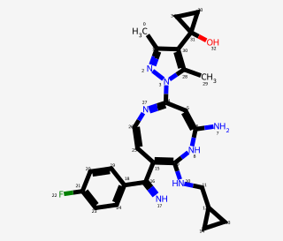 Cc1nn(-c2cc(N)[nH]c(NCC3CC3)c(C(=N)c3ccc(F)cc3)ccn2)c(C)c1C1(O)CC1